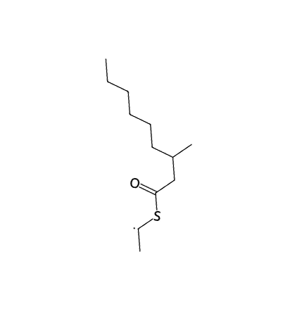 C[CH]SC(=O)CC(C)CCCCCC